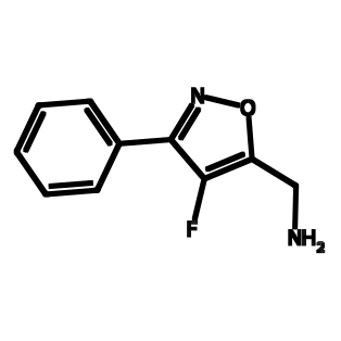 NCc1onc(-c2ccccc2)c1F